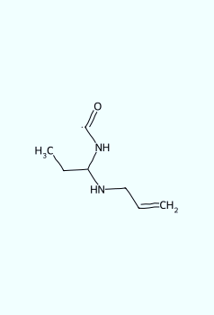 C=CCNC(CC)N[C]=O